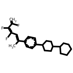 C=C(F)/C(F)=C(F)\C=C(/C)c1ccc(C2CCC(C3CCCCC3)CC2)cc1